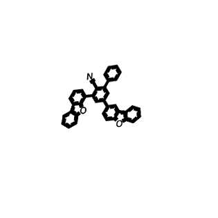 N#Cc1c(-c2ccccc2)cc(-c2ccc3oc4ccccc4c3c2)cc1-c1cccc2c1oc1ccccc12